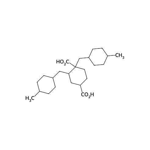 CC1CCC(CC2CC(C(=O)O)CCC2(CC2CCC(C)CC2)C(=O)O)CC1